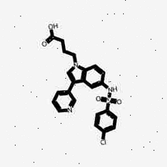 O=C(O)CCCn1cc(-c2cccnc2)c2cc(NS(=O)(=O)c3ccc(Cl)cc3)ccc21